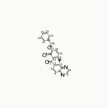 O=C(c1ccc2nccnc2c1)c1c(F)ccc(OCc2ccccc2)c1Cl